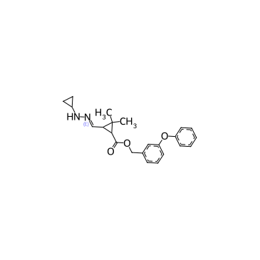 CC1(C)C(/C=N/NC2CC2)C1C(=O)OCc1cccc(Oc2ccccc2)c1